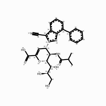 CC(C)C(=O)N[C@H]1[C@H]([C@H](O)[C@H](O)CO)OC(C(=O)O)=C[C@@H]1n1nc2c(-c3ccccc3)cccc2c1C#N